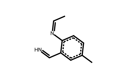 C/C=N\c1ccc(C)cc1C=N